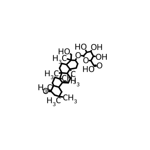 CC1(C)CC(=O)C2(C)CCC3(C)C(=CCC4C5(C)CCC(OC6OC(C(=O)O)C(O)C(O)C6O)C(C)(CO)C5CCC43C)C2C1